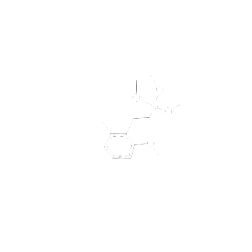 COc1cccc(C)c1CC[Si](OC)(OC)OC